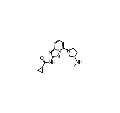 CNC1CCN(c2cccc3nc(NC(=O)C4CC4)nn23)C1